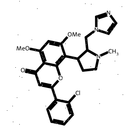 COc1cc(OC)c2c(=O)cc(-c3ccccc3Cl)oc2c1C1CCN(C)C1Cn1ccnc1